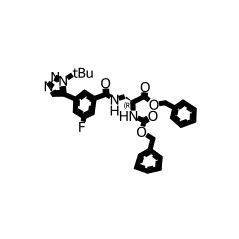 CC(C)(C)n1nncc1-c1cc(F)cc(C(=O)NC[C@@H](NC(=O)OCc2ccccc2)C(=O)OCc2ccccc2)c1